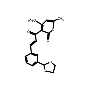 COc1cc(C)oc(=O)c1C(=O)/C=C/c1cccc(C2OCCO2)c1